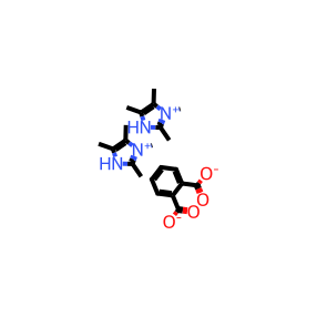 Cc1[nH]c(C)[n+](C)c1C.Cc1[nH]c(C)[n+](C)c1C.O=C([O-])c1ccccc1C(=O)[O-]